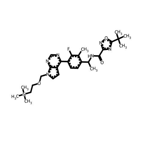 Cc1c(C(C)NC(=O)c2noc(C(C)(C)C)n2)ccc(-c2ncnc3c2ccn3COCC[Si](C)(C)C)c1F